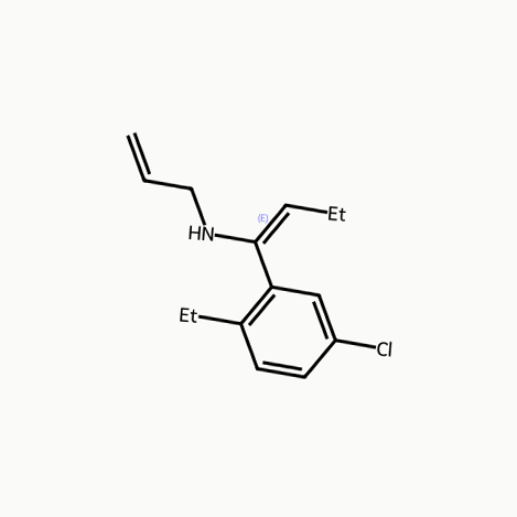 C=CCN/C(=C/CC)c1cc(Cl)ccc1CC